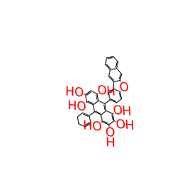 Oc1cc(O)c2c(-c3ccc4oc5cc6ccccc6cc5c4c3)c3c(O)c(O)c(O)c(O)c3c(C3=CCCC=C3)c2c1O